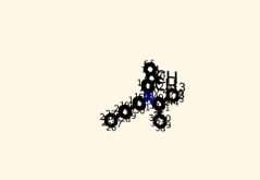 CC1(C)c2ccccc2-c2ccc(N(c3ccc(-c4ccc(C5CCCCC5)cc4)cc3)c3cc(C4CCCCC4)cc(C4CCCCC4)c3)cc21